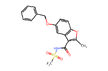 Cc1oc2ccc(OCc3ccccc3)cc2c1C(=O)NS(=O)(=O)C(F)(F)F